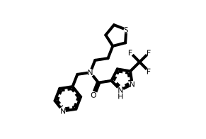 O=C(c1cc(C(F)(F)F)n[nH]1)N(CCC1CCSC1)Cc1ccncc1